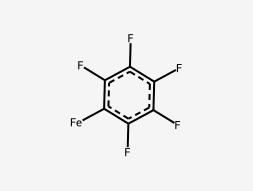 Fc1c(F)c(F)[c]([Fe])c(F)c1F